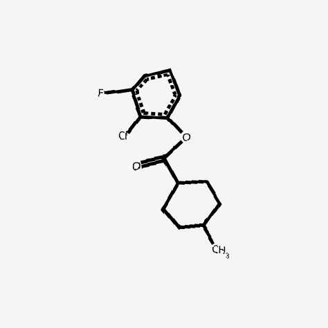 CC1CCC(C(=O)Oc2cccc(F)c2Cl)CC1